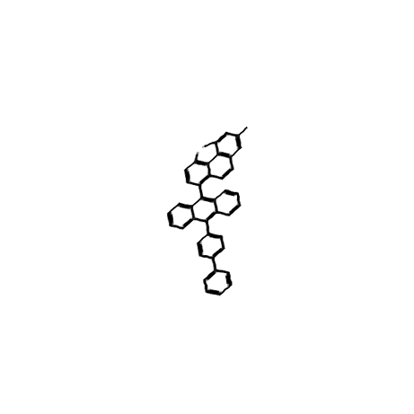 Cc1cc2ccc3c(-c4c5ccccc5c(-c5ccc(-c6ccccc6)cc5)c5ccccc45)ccc4oc(c1)c2c43